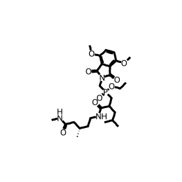 CCOP(=O)(CC(CC(C)C)C(=O)NCC[C@H](C)CC(=O)NC)CN1C(=O)c2c(OC)ccc(OC)c2C1=O